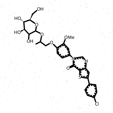 COc1cc(-n2cnc3cc(-c4ccc(Cl)cc4)sc3c2=O)ccc1OCC(C)OC1O[C@H](CO)[C@@H](O)[C@H](O)C1O